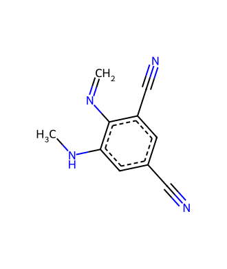 C=Nc1c(C#N)cc(C#N)cc1NC